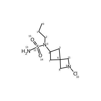 CCCN(C1CC2(C1)CN(Cl)C2)S(N)(=O)=O